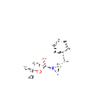 CC(C)(C)OC(=O)N1C[C@H]1Cc1ccccc1